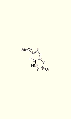 COC1=CC=C2CC(=O)CNC2C1